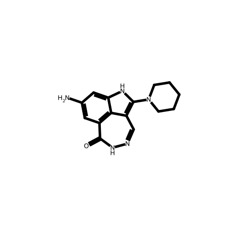 Nc1cc2c3c(c(N4CCCCC4)[nH]c3c1)C=NNC2=O